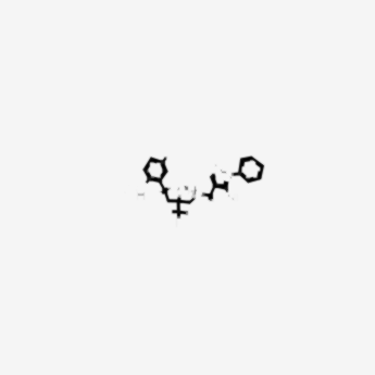 COc1ccc(F)cc1C(C)(C)CC(O)(CNC(=O)c1cnn(-c2ccccc2)c1N)C(F)(F)F